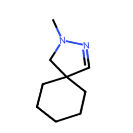 CN1CC2(C=N1)CCCCC2